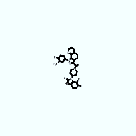 O=C(c1nn(-c2ccc(F)c(C(F)(F)F)c2)c2c1CCc1cccnc1-2)N1CCC(n2c(=O)[nH]c3ccc(F)c(F)c32)CC1